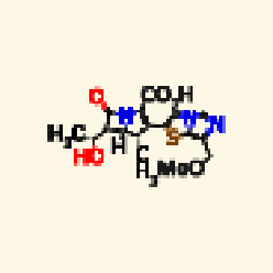 COCc1ncn2cc(C3=C(C(=O)O)N4C(=O)[C@H]([C@@H](C)O)[C@H]4[C@H]3C)sc12